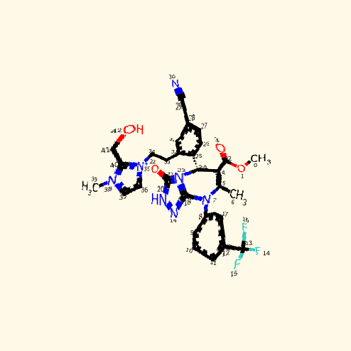 COC(=O)C1=C(C)N(c2cccc(C(F)(F)F)c2)c2n[nH]c(=O)n2[C@@H]1c1ccc(C#N)cc1CC[n+]1ccn(C)c1CO